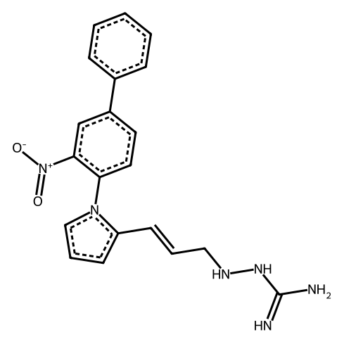 N=C(N)NNC/C=C/c1cccn1-c1ccc(-c2ccccc2)cc1[N+](=O)[O-]